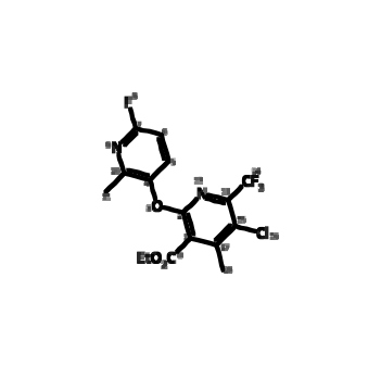 CCOC(=O)c1c(Oc2ccc(F)nc2C)nc(C(F)(F)F)c(Cl)c1C